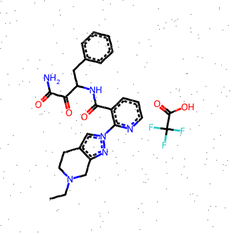 CCN1CCc2cn(-c3ncccc3C(=O)NC(Cc3ccccc3)C(=O)C(N)=O)nc2C1.O=C(O)C(F)(F)F